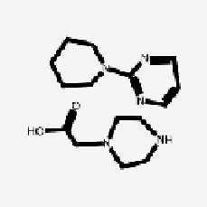 O=C(O)CN1CCNCC1.c1cnc(N2CCCCC2)nc1